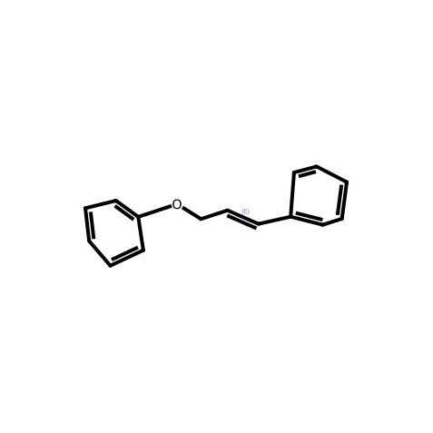 C(=C\c1ccccc1)/COc1ccccc1